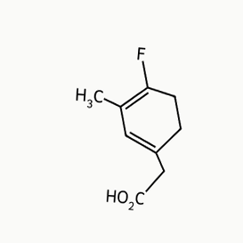 CC1=C(F)CCC(CC(=O)O)=C1